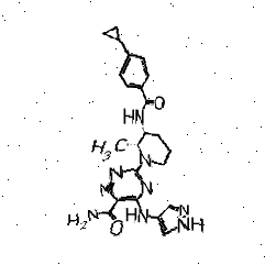 C[C@@H]1[C@H](NC(=O)c2ccc(C3CC3)cc2)CCCN1c1nnc(C(N)=O)c(Nc2cn[nH]c2)n1